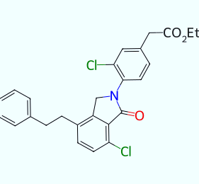 CCOC(=O)Cc1ccc(N2Cc3c(CCc4ccccc4)ccc(Cl)c3C2=O)c(Cl)c1